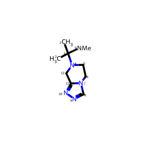 CNC(C)(C)N1CCn2cnnc2C1